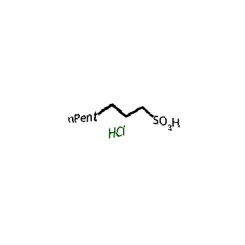 CCCCCCCCS(=O)(=O)O.Cl